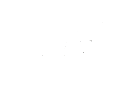 CCCCC(=O)OCC(=O)[C@@]1(C)[C@@H](C)C[C@H]2[C@@H]3CCC4=CC(=O)C=C[C@]4(C)[C@@]3(F)[C@@H](O)C[C@@]21C